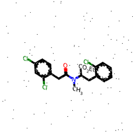 CCOC(=O)C(Cc1ccccc1Cl)N(C)C(=O)Cc1ccc(Cl)cc1Cl